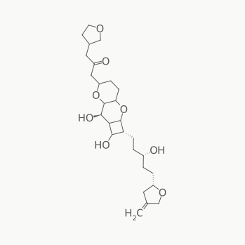 C=C1CO[C@@H](CC[C@@H](O)CC[C@@H]2C(O)C3C2OC2CCC(CC(=O)CC4CCOC4)OC2[C@@H]3O)C1